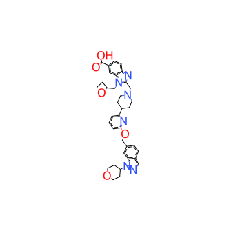 O=C(O)c1ccc2nc(CN3CCC(c4cccc(OCc5ccc6cnn(C7CCOCC7)c6c5)n4)CC3)n(CC3CCO3)c2c1